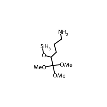 COC(OC)(OC)C(CCCN)O[SiH3]